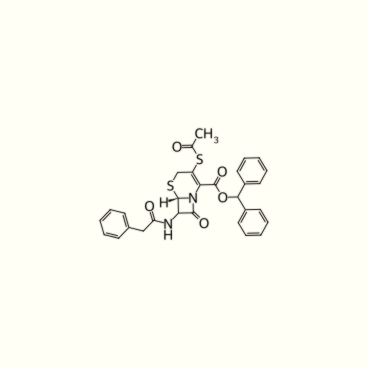 CC(=O)SC1=C(C(=O)OC(c2ccccc2)c2ccccc2)N2C(=O)C(NC(=O)Cc3ccccc3)[C@@H]2SC1